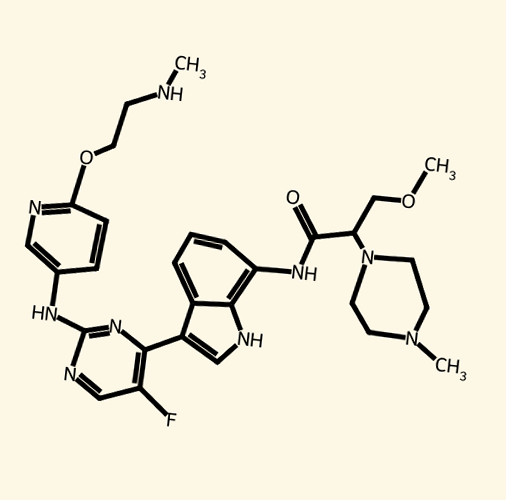 CNCCOc1ccc(Nc2ncc(F)c(-c3c[nH]c4c(NC(=O)C(COC)N5CCN(C)CC5)cccc34)n2)cn1